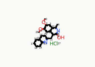 COc1cc2c(C)nc(O)c(Cc3ccc4ccccc4n3)c2cc1OC.Cl